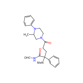 CNC(CCC(=O)N1CCN(c2ccccc2)C(C)C1)(C(=O)NC=O)c1ccccc1